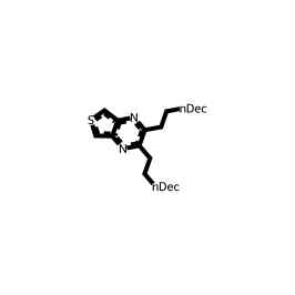 CCCCCCCCCCCCc1nc2cscc2nc1CCCCCCCCCCCC